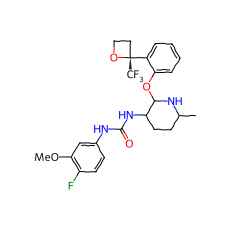 COc1cc(NC(=O)NC2CCC(C)NC2Oc2ccccc2[C@@]2(C(F)(F)F)CCO2)ccc1F